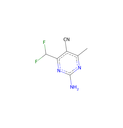 Cc1nc(N)nc(C(F)F)c1C#N